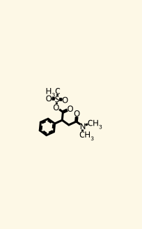 CN(C)C(=O)CC(C(=O)OS(C)(=O)=O)c1ccccc1